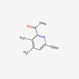 COC(=O)c1nc(OC)cc(C)c1C